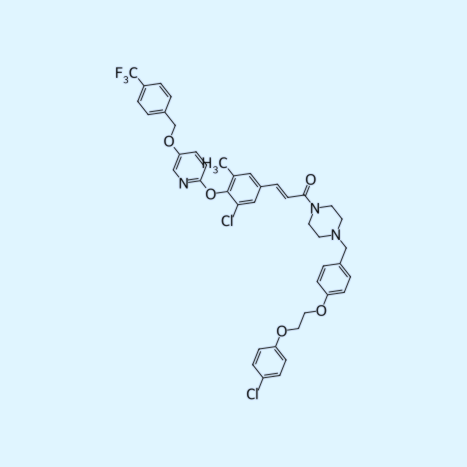 Cc1cc(C=CC(=O)N2CCN(Cc3ccc(OCCOc4ccc(Cl)cc4)cc3)CC2)cc(Cl)c1Oc1ccc(OCc2ccc(C(F)(F)F)cc2)cn1